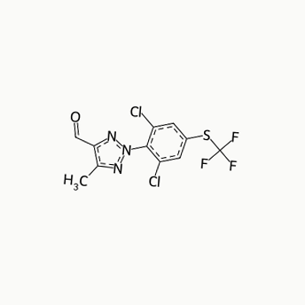 Cc1nn(-c2c(Cl)cc(SC(F)(F)F)cc2Cl)nc1C=O